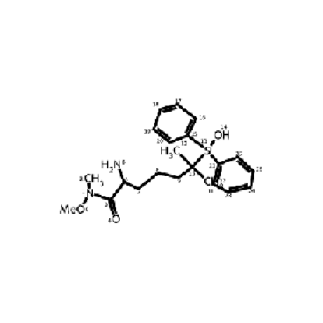 CON(C)C(=O)C(N)CCCC(C)(C)[Si](O)(c1ccccc1)c1ccccc1